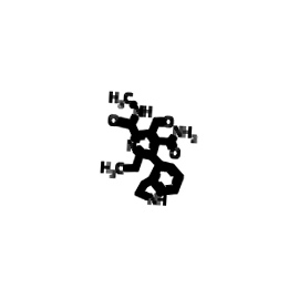 CCc1nc(C(=O)NC)c(C=O)c(C(N)=O)c1-c1cccc2c1CCN2